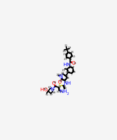 C=C(Nc1cc(-c2cccc(NC(=O)c3ccc(C(C)(C)C)cc3)c2C)cn(C)c1=O)S/C(=C\N)C(=O)N1CCC(C)(O)C1